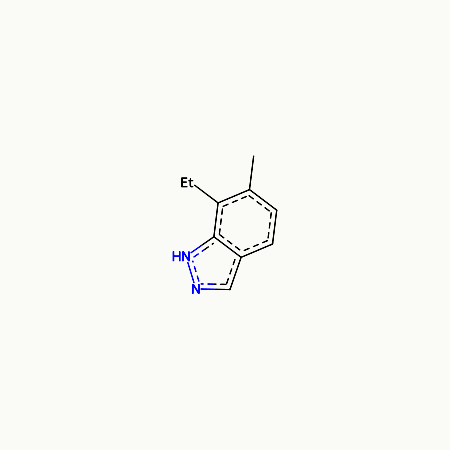 CCc1c(C)ccc2cn[nH]c12